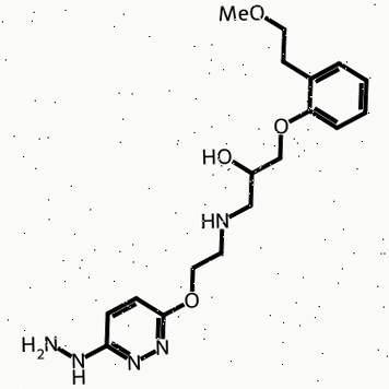 COCCc1ccccc1OCC(O)CNCCOc1ccc(NN)nn1